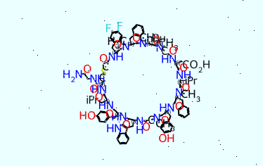 CCCC[C@H]1C(=O)N(C)CC(=O)N[C@@H](CC(=O)O)C(=O)N[C@@H](C(C)C)C(=O)N(C)[C@@H](Cc2ccccc2)C(=O)N[C@@H](Cc2ccc(O)cc2)C(=O)N(C)CC(=O)N[C@@H](Cc2c[nH]c3ccccc23)C(=O)N[C@@H](Cc2ccc(O)cc2)C(=O)N[C@@H](CC(C)C)C(=O)N[C@H](C(=O)NCC(N)=O)CSCC(=O)N[C@@H](Cc2ccc(F)c(F)c2)C(=O)N(C)[C@@H](Cc2ccccc2)C(=O)N1C